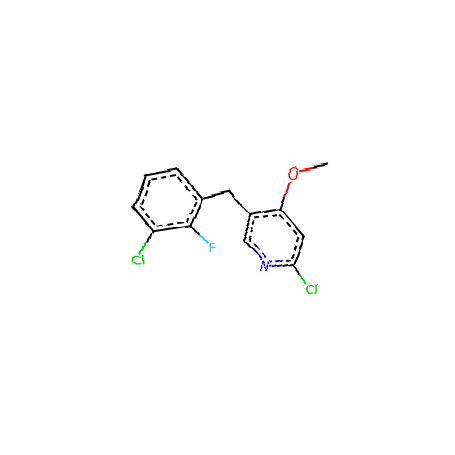 COc1cc(Cl)ncc1Cc1cccc(Cl)c1F